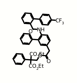 CCOC(=O)C(COC(=O)Cc1ccc(NC(=O)c2ccccc2-c2ccc(C(F)(F)F)cc2)c(-c2ccccc2)c1)(C(=O)OCC)c1ccccc1